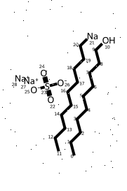 CCCCCCCCCCO.CCCCCCCCC[CH2][Na].O=S(=O)([O-])[O-].[Na+].[Na+]